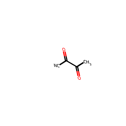 CC(=O)C(=O)C#N